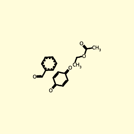 CCOC(C)=O.O=C1C=CC(=O)C=C1.O=Cc1ccccc1